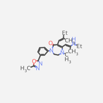 CCN/C(C)=C/C1=C(/C=C(\C)CC)C(=O)N(c2cccc(-c3nnc(C)o3)c2)CCN1C